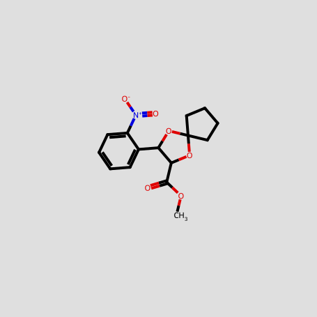 COC(=O)C1OC2(CCCC2)OC1c1ccccc1[N+](=O)[O-]